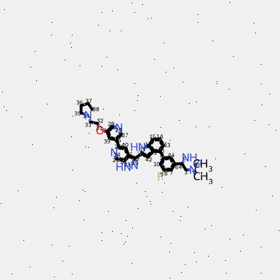 CN(C)CC(N)c1cc(F)cc(-c2cccc3[nH]c(-c4n[nH]c5cnc(-c6cncc(OCCN7CCCC7)c6)cc45)cc23)c1